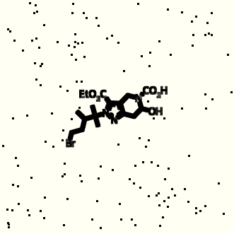 CCOC(=O)c1c2c(nn1C(C)(C)C(C)CCBr)CC(O)N(C(=O)O)C2